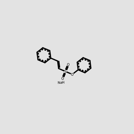 O=S(=O)(C=Cc1ccccc1)Oc1ccccc1.[NaH]